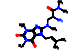 CC(C)=CCn1c(N(C)CC(N)C(=O)N(C)C)nc2c1c(=O)n(C)c(=O)n2C